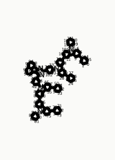 c1ccc(-c2ccc3c(c2)c2cc(-c4ccc5c(c4)c4cc(-c6ccccc6)ccc4n5-c4ccc(-c5nc(-c6cccc(-n7c8ccc(-c9ccccc9)cc8c8cc(-c9ccc%10c(c9)c9cc(-c%11ccccc%11)ccc9n%10-c9ccccc9)ccc87)c6)c6c(n5)-c5cccc7cccc-6c57)cc4)ccc2n3-c2ccccc2)cc1